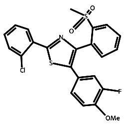 COc1ccc(-c2sc(-c3ccccc3Cl)nc2-c2ccccc2S(C)(=O)=O)cc1F